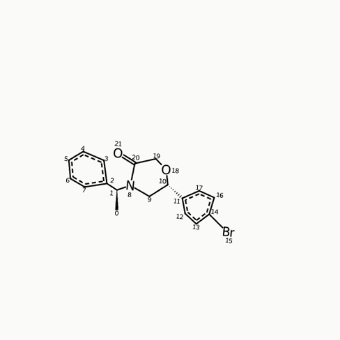 C[C@@H](c1ccccc1)N1C[C@@H](c2ccc(Br)cc2)OCC1=O